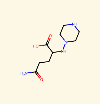 NC(=O)CCC(NN1CCNCC1)C(=O)O